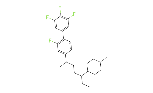 CCC(CCC(C)c1ccc(-c2cc(F)c(F)c(F)c2)c(F)c1)C1CCC(C)CC1